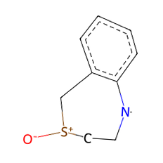 [O-][S+]1CC[N]c2ccccc2C1